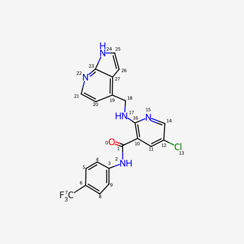 O=C(Nc1ccc(C(F)(F)F)cc1)c1cc(Cl)cnc1NCc1ccnc2[nH]ccc12